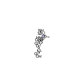 C=CCO/N=C(\C(=O)N[C@@H]1C(=O)N2C(C(=O)[O-])=C(CSc3cc[n+](CC(=O)O)cc3)CS[C@H]12)c1csc(N)n1